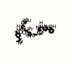 Cc1ncsc1-c1ccc([C@H](C)NC(=O)[C@@H]2CC(O[Si](C)(C)C(C)(C)C)CN2C(=O)[C@@H](c2cc(OCCN3CCN4c5cc(-c6ccccc6O)nnc5NCC4(C=N)C3)no2)C(C)C)cc1